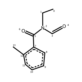 CCN(C=O)C(=O)c1ccccc1C